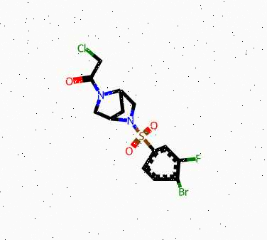 O=C(CCl)N1CC2CC1CN2S(=O)(=O)c1ccc(Br)c(F)c1